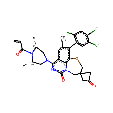 C=CC(=O)N1[C@H](C)CN(c2nc(=O)n3c4c(c(-c5cc(Cl)c(F)cc5F)c(C(F)(F)F)cc24)SCC2(CC(=O)C2)C3)C[C@@H]1C